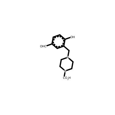 O=Cc1ccc(O)c(CN2CCN(C(=O)O)CC2)c1